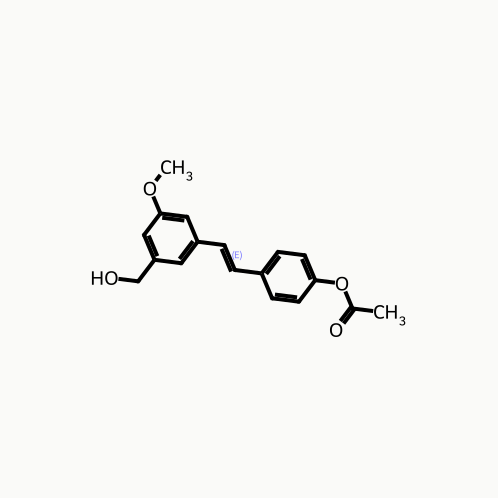 COc1cc(/C=C/c2ccc(OC(C)=O)cc2)cc(CO)c1